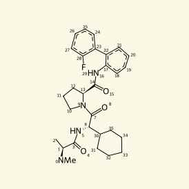 CN[C@@H](C)C(=O)N[C@H](C(=O)N1CCC[C@H]1C(=O)Nc1ccccc1-c1ccccc1F)C1CCCCC1